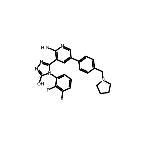 Nc1ncc(-c2ccc(CN3CCCC3)cc2)cc1-c1nnc(O)n1-c1cccc(F)c1F